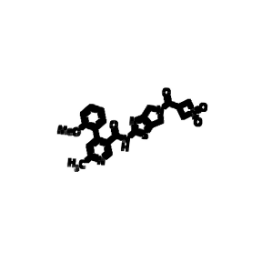 COc1ccccc1-c1cc(C)ncc1C(=O)Nc1nc2c(s1)CN(C(=O)C1CS(=O)(=O)C1)C2